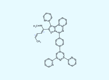 C=N/C(=C\C=C/C)c1sc2c(-c3ccc(-c4cc(-c5ccccn5)nc(-c5ccccn5)c4)cc3)nc3ccccc3c2c1-c1ccccn1